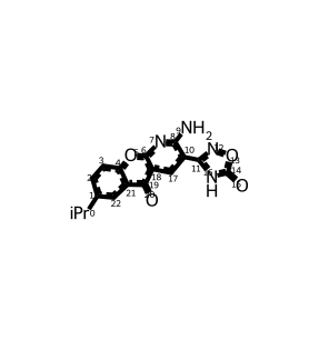 CC(C)c1ccc2oc3nc(N)c(-c4noc(=O)[nH]4)cc3c(=O)c2c1